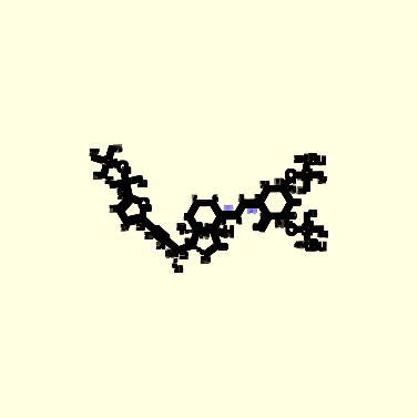 C=C1/C(=C\C=C2/CCC[C@]3(C)[C@@H]([C@H](C)C#Cc4ccc(C(C)(C)O[Si](C)(C)C)o4)CC[C@@H]23)C[C@@H](O[Si](C)(C)C(C)(C)C)C[C@@H]1O[Si](C)(C)C(C)(C)C